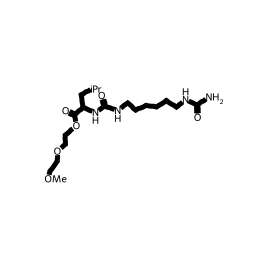 COCCOCCOC(=O)C(CC(C)C)NC(=O)NCCCCCCNC(N)=O